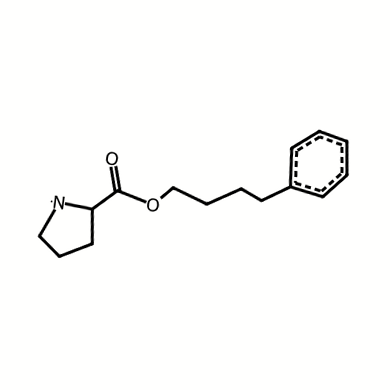 O=C(OCCCCc1ccccc1)C1CCC[N]1